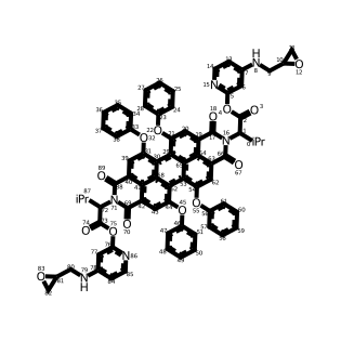 CC(C)C(C(=O)Oc1cc(NCC2CO2)ccn1)N1C(=O)c2cc(Oc3ccccc3)c3c4c(Oc5ccccc5)cc5c6c(cc(Oc7ccccc7)c(c7c(Oc8ccccc8)cc(c2c37)C1=O)c64)C(=O)N(C(C(=O)Oc1cc(NCC2CO2)ccn1)C(C)C)C5=O